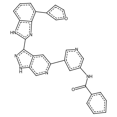 O=C(Nc1cncc(-c2cc3c(-c4nc5c(-c6ccoc6)cccc5[nH]4)n[nH]c3cn2)c1)c1ccccc1